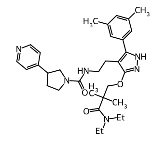 CCN(CC)C(=O)C(C)(C)COc1n[nH]c(-c2cc(C)cc(C)c2)c1CCNC(=O)N1CCC(c2ccncc2)C1